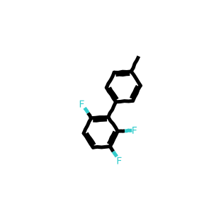 Cc1ccc(-c2c(F)ccc(F)c2F)cc1